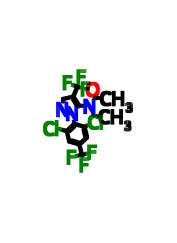 CCN(C(C)=O)c1c(C(F)(F)F)cnn1-c1c(Cl)cc(C(F)(F)F)cc1Cl